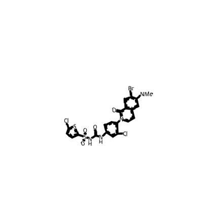 CNc1cc2ccn(-c3ccc(NC(=O)NS(=O)(=O)c4ccc(Cl)s4)cc3Cl)c(=O)c2cc1Br